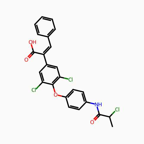 CC(Cl)C(=O)Nc1ccc(Oc2c(Cl)cc(C(=Cc3ccccc3)C(=O)O)cc2Cl)cc1